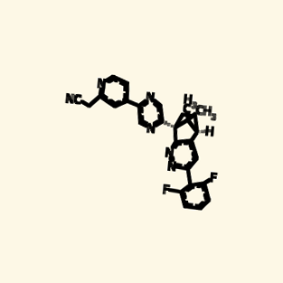 CC1(C)[C@H]2CC[C@]1(c1cnc(-c3ccnc(CC#N)c3)cn1)c1nnc(-c3c(F)cccc3F)cc12